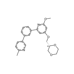 COc1cc(OC[C@H]2COCCO2)cc(-c2cccc(-c3ccc(C)nc3)c2)n1